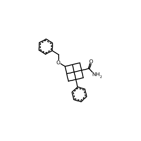 NC(=O)C12CC3C(OCc4ccccc4)C4CC(c5ccccc5)(C1)C342